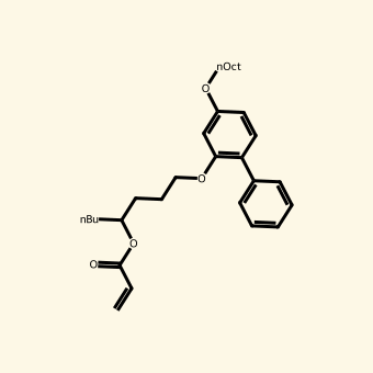 C=CC(=O)OC(CCCC)CCCOc1cc(OCCCCCCCC)ccc1-c1ccccc1